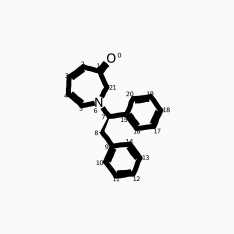 O=C1C=CC=CN([C@H](Cc2ccccc2)c2ccccc2)C1